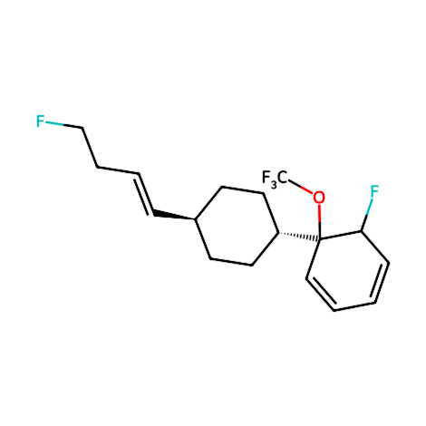 FCCC=C[C@H]1CC[C@H](C2(OC(F)(F)F)C=CC=CC2F)CC1